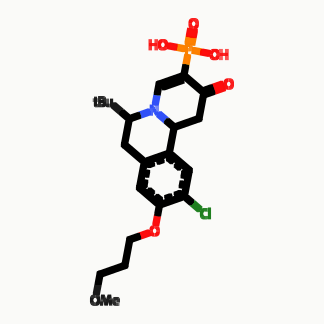 COCCCOc1cc2c(cc1Cl)C1CC(=O)C(P(=O)(O)O)=CN1C(C(C)(C)C)C2